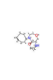 CNC1COCCN(C2CCC=CCC2)C1=O